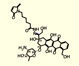 C=C1C=CC(=O)N1CCCCCC(=O)N/N=C(\CO)[C@]1(O)Cc2c(O)c3c(c(O)c2[C@@H](O[C@H]2C[C@@H](N)[C@@H](O)C(C)O2)C1)C(=O)c1c(CO)cccc1C3=O